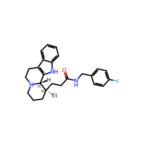 CC[C@]1(CCC(=O)NCc2ccc(F)cc2)CCCN2CCc3c([nH]c4ccccc34)[C@@H]21